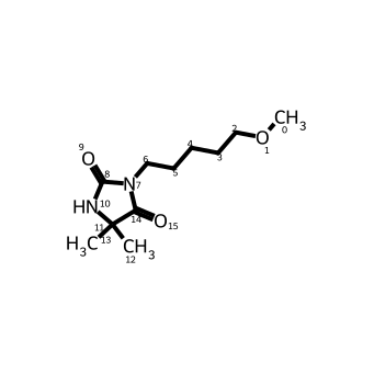 COCCCCCN1C(=O)NC(C)(C)C1=O